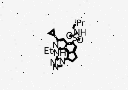 CCNc1nncn1C1CCc2cc(S(=O)(=O)NCC(C)C)c3cc(C4CC4)ncc3c21